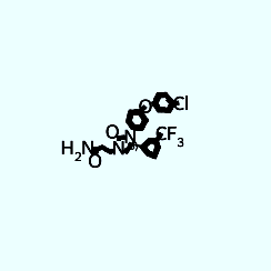 NC(=O)CCN1C[C@H](c2cccc(C(F)(F)F)c2)N(c2ccc(Oc3ccc(Cl)cc3)cc2)C1=O